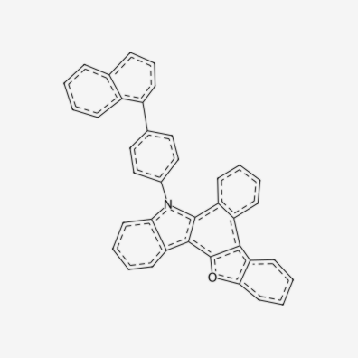 c1ccc2c(-c3ccc(-n4c5ccccc5c5c6oc7ccccc7c6c6ccccc6c54)cc3)cccc2c1